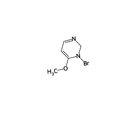 COC1=CC=NCN1Br